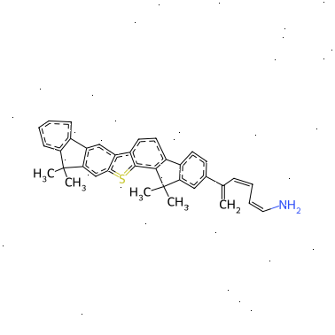 C=C(/C=C\C=C/N)c1ccc2c(c1)C(C)(C)c1c-2ccc2c1sc1cc3c(cc12)-c1ccccc1C3(C)C